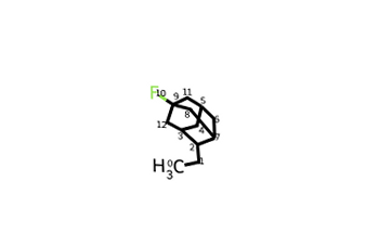 CCC1C2CC3CC1CC(F)(C3)C2